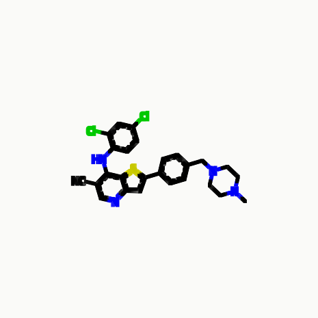 CN1CCN(Cc2ccc(-c3cc4ncc(C#N)c(Nc5ccc(Cl)cc5Cl)c4s3)cc2)CC1